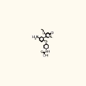 CCOc1cc(=O)n(C)cc1-c1cc(N)ccc1OC1CCC(NC(=O)O)CC1